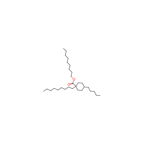 CCCCCCCCCOC(=O)C1(CCCCCCCCC)CCC(CCCCC)CC1